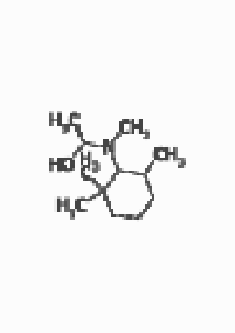 CC1CCCC(C)(C)C1N(C)C(C)O